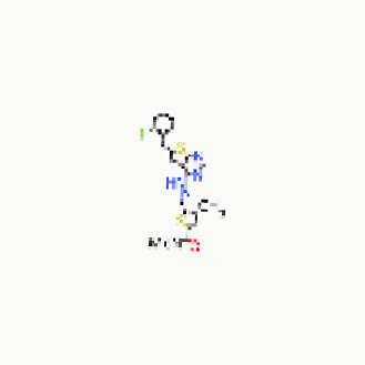 CNC(=O)c1cc(C)c(C=NNc2ncnc3sc(Cc4ccccc4F)cc23)s1